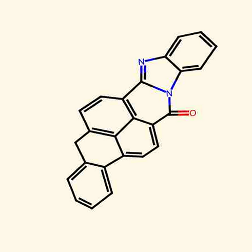 O=c1c2ccc3c4c(ccc(c42)c2nc4ccccc4n12)Cc1ccccc1-3